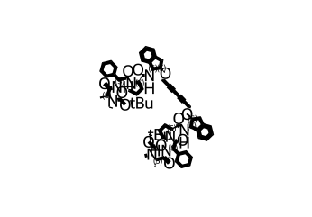 C[C@@H](C(=O)N[C@H](C(=O)N1CCC[C@H]1C(=O)N[C@H]1c2ccccc2C[C@@H]1OCC#CC#CCO[C@H]1Cc2ccccc2[C@@H]1NC(=O)[C@@H]1CCCN1C(=O)[C@@H](NC(=O)[C@H](C)N(C)C(=O)OC(C)(C)C)C1CCCCC1)C1CCCCC1)N(C)C(=O)OC(C)(C)C